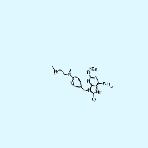 CCCCOc1nc(N)c2[nH]c(=O)n(Cc3ccc(N(C)CCN(C)C)nc3)c2n1